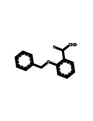 O=[C]C(F)c1ccccc1OCc1ccccc1